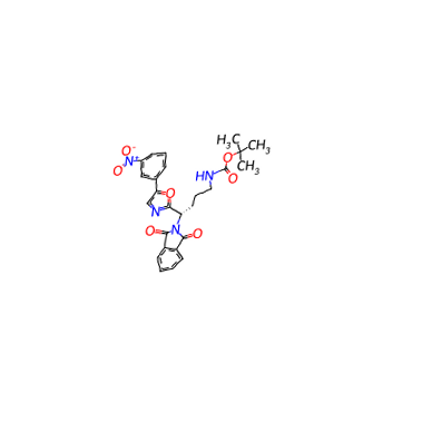 CC(C)(C)OC(=O)NCCC[C@@H](c1ncc(-c2cccc([N+](=O)[O-])c2)o1)N1C(=O)c2ccccc2C1=O